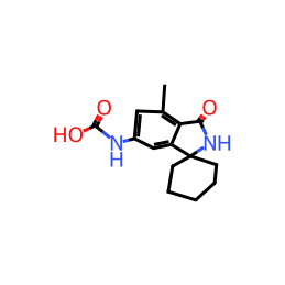 Cc1cc(NC(=O)O)cc2c1C(=O)NC21CCCCC1